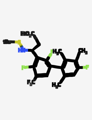 CCOC(=O)C[C@H](NSC(C)(C)C)c1c(F)c(-c2c(C)cc(F)c(C)c2C)cc(C(F)(F)F)c1F